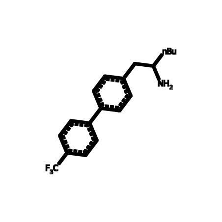 CCCCC(N)Cc1ccc(-c2ccc(C(F)(F)F)cc2)cc1